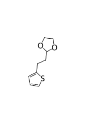 c1csc(CCC2OCCO2)c1